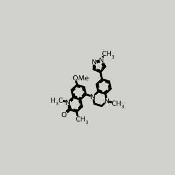 COc1cc(N2CCN(C)c3ccc(-c4cnn(C)c4)cc32)c2cc(C)c(=O)n(C)c2c1